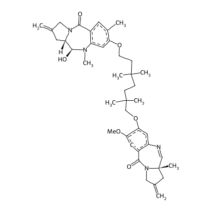 C=C1C[C@H]2[C@H](O)N(C)c3cc(OCCC(C)(C)CCC(C)(C)COc4cc5c(cc4OC)C(=O)N4CC(=C)C[C@@]4(C)C=N5)c(C)cc3C(=O)N2C1